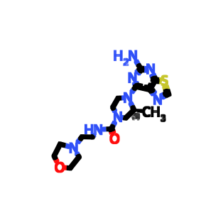 C[C@H]1CN(C(=O)NCCN2CCOCC2)CCN1c1nc(N)nc2scnc12